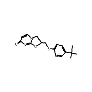 CC(C)(C)c1ccc(SCC2Cn3ccc(=O)nc3O2)cc1